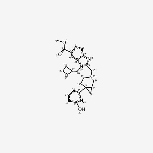 COC(=O)c1ccc2nc(CN3CCC4(c5cccc(O)n5)CC4C3)n(C[C@@H]3CCO3)c2c1